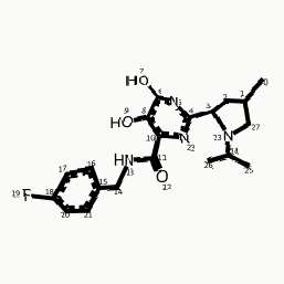 CC1CC(c2nc(O)c(O)c(C(=O)NCc3ccc(F)cc3)n2)N(C(C)C)C1